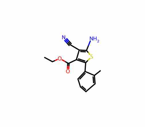 CCOC(=O)c1c(-c2ccccc2C)sc(N)c1C#N